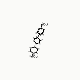 CCCCCCCCc1ccc(C2=CCC([C@H]3CC[C@H](CCCCCCCC)CC3)C=C2)cc1